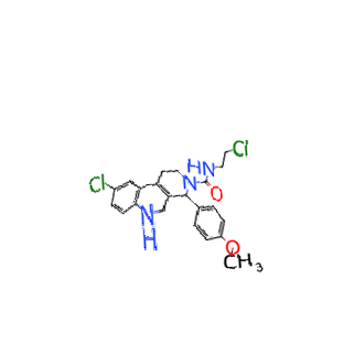 COc1ccc(C2C3=C(CCN2C(=O)NCCCl)c2cc(Cl)ccc2NC3)cc1